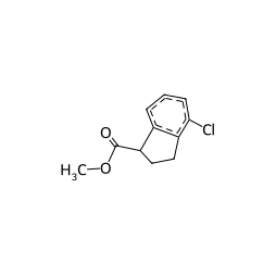 COC(=O)C1CCc2c(Cl)cccc21